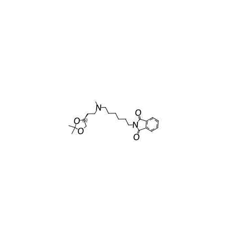 CN(CCCCCCN1C(=O)c2ccccc2C1=O)CC[C@H]1COC(C)(C)O1